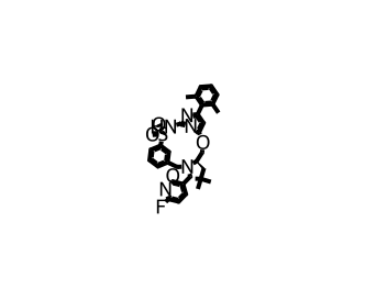 Cc1cccc(C)c1-c1cc2nc(n1)NS(=O)(=O)c1cccc(c1)C(=O)N(Cc1ccc(F)nc1)[C@H](CC(C)(C)C)CO2